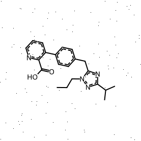 CCCn1nc(C(C)C)nc1Cc1ccc(-c2cccnc2C(=O)O)cc1